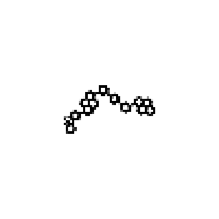 c1cc(-c2ccc(-c3cccc(-c4ccc5ccc6c(-c7ccc8sc9ccccc9c8c7)ccc7ccc4c5c76)c3)cc2)cc(-c2ccc3ccc4cccc5ccc2c3c45)c1